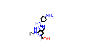 CC(C)Nc1nc([C@@H](C)O)cc2cnc(NC3CCC(N)CC3)nc12